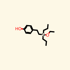 CCC[Si](CCC)(CCc1ccc(O)cc1)OCC